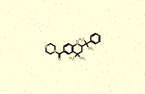 CC1(C)CC(C(C)(C)c2ccccc2)Nc2ccc(C(=O)N3CCOCC3)cc21